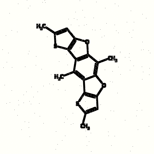 Cc1cc2oc3c(C)c4oc5cc(C)sc5c4c(C)c3c2s1